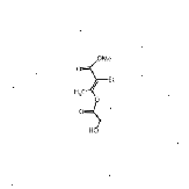 CC/C(C(=O)OC)=C(/C)OC(=O)CO